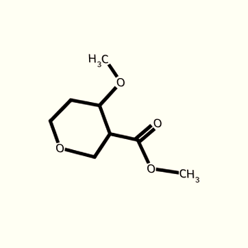 COC(=O)C1COCCC1OC